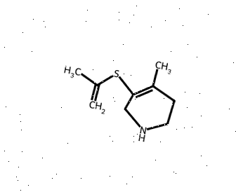 C=C(C)SC1=C(C)CCNC1